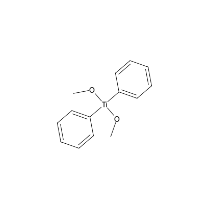 C[O][Ti]([O]C)([c]1ccccc1)[c]1ccccc1